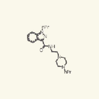 CCCN1CCN(CCNC(=O)c2nn(CCC)c3ccccc23)CC1